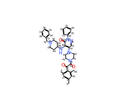 Cc1cc(C)c(C(=O)C(=O)N2CCN(c3cnn(-c4ccccc4)c(=O)c3NC3CCN(Cc4ccccc4)CC3)CC2)c(C)c1